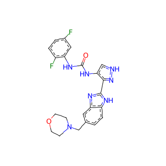 O=C(Nc1cc(F)ccc1F)Nc1c[nH]nc1-c1nc2cc(CN3CCOCC3)ccc2[nH]1